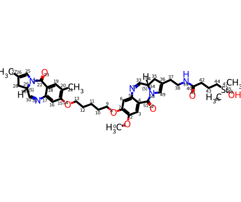 COc1cc2c(cc1OCCCCCOc1cc3c(cc1C)C(=O)N1C=C(C)C[C@H]1C=N3)N=C[C@@H]1CC(CCNC(=O)CCC[Si](C)(C)O)=CN1C2=O